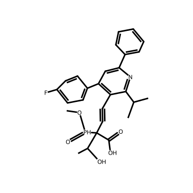 CO[PH](=O)C(C#Cc1c(-c2ccc(F)cc2)cc(-c2ccccc2)nc1C(C)C)(C(=O)O)C(C)O